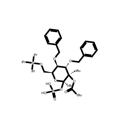 CCCC[C@]1(OP(=O)(O)O)O[C@@H](CO[Si](C(C)C)(C(C)C)C(C)C)[C@@H](OCc2ccccc2)[C@H](OCc2ccccc2)[C@@]1(CCCC)OC(=O)C(C)(C)C